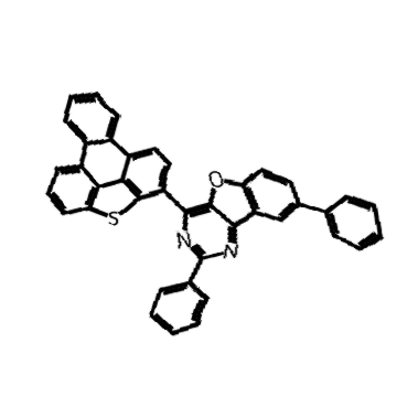 c1ccc(-c2ccc3oc4c(-c5ccc6c7ccccc7c7cccc8sc5c6c87)nc(-c5ccccc5)nc4c3c2)cc1